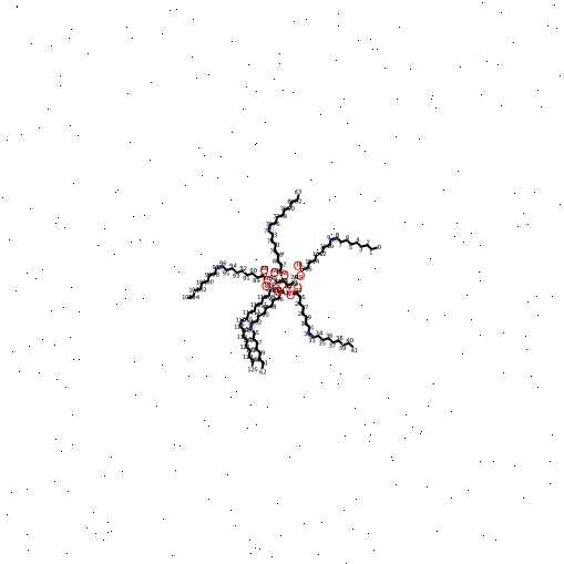 CCCCCCCC/C=C\CCCCCCCC(=O)OC[C@H](OC(=O)CCCCCCC/C=C\CCCCCCCC)[C@@H](OC(=O)CCCCCCC/C=C\CCCCCCCC)[C@H](OC(=O)CCCCCCC/C=C\CCCCCCCC)[C@@H](COC(=O)CCCCCCC/C=C\CCCCCCCC)OC(=O)CCCCCCC/C=C\CCCCCCCC